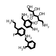 NCCc1ccccc1F.NC[C@H](O)[C@@H](O)[C@H](O)[C@H](O)CO.NCc1ccc(N)cc1.NCc1ccccc1N